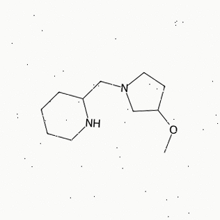 COC1CCN(CC2CCCCN2)C1